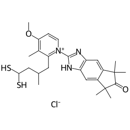 COc1cc[n+](-c2nc3cc4c(cc3[nH]2)C(C)(C)C(=O)C4(C)C)c(CC(C)CC(S)S)c1C.[Cl-]